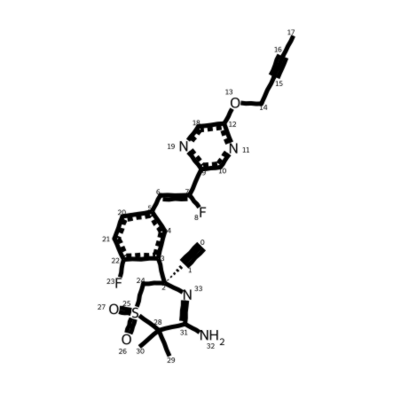 C#C[C@@]1(c2cc(/C=C(\F)c3cnc(OCC#CC)cn3)ccc2F)CS(=O)(=O)C(C)(C)C(N)=N1